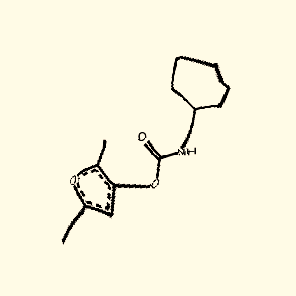 Cc1cc(OC(=O)NC2CCCCC2)c(C)o1